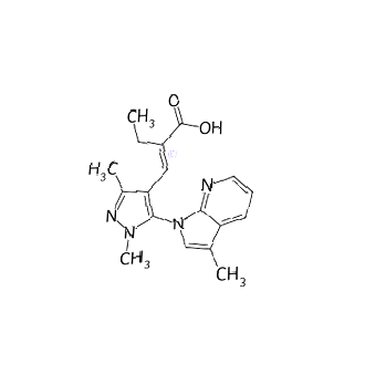 CC/C(=C\c1c(C)nn(C)c1-n1cc(C)c2cccnc21)C(=O)O